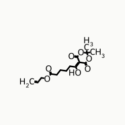 C=CCOC(=O)CCCCC(O)=C1C(=O)OC(C)(C)OC1=O